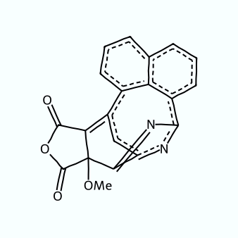 COC12C(=O)OC(=O)C1=c1cc3nc(c4cccc5cccc1c54)N=C32